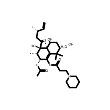 C=C[C@@H](C)CC(=O)[C@@]1(O)[C@@H](C)[C@@H](OC(C)=O)C(OC(=O)CCN2CCCCC2)=C2C(C)(C)CC[C@H](O)[C@@]21C.Cl.O